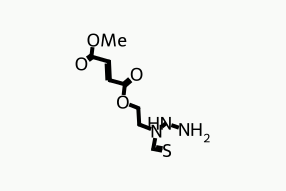 COC(=O)/C=C/C(=O)OCCN(C=S)NN